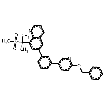 CC(C)(c1cc(-c2cccc(-c3ccc(OCc4ccccc4)nc3)c2)cc2cccnc12)S(C)(=O)=O